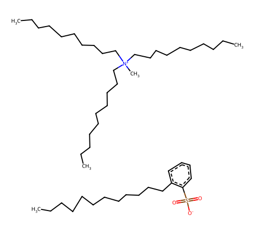 CCCCCCCCCCCCc1ccccc1S(=O)(=O)[O-].CCCCCCCCCC[N+](C)(CCCCCCCCCC)CCCCCCCCCC